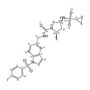 Cc1ccc(S(=O)(=O)n2ccc3nc(CNC(=O)N4C[C@@H](NS(=O)(=O)C5CC5)C[C@H]4C)cnc32)cc1